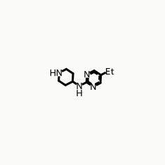 CCc1cnc(NC2CCNCC2)nc1